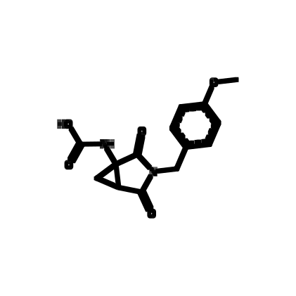 COc1ccc(CN2C(=O)C3CC3(NC(=O)O)C2=O)cc1